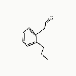 CCCc1ccccc1C[C]=O